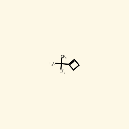 FC(F)(F)C(C1=CCC1)(C(F)(F)F)C(F)(F)F